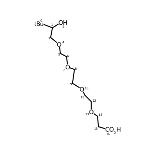 CC(C)(C)C(O)COCCOCCOCCOCCC(=O)O